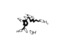 CCCCCCC(C)Oc1ccc(C(=O)O)cc1F.Cl